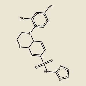 CC(C)c1ccc(N2CCOC3C=C(S(=O)(=O)Nc4nccs4)C=CC32)c(C#N)c1